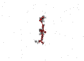 CC1(C)CCC(CN2CCN(c3ccc(C(=O)NS(=O)(=O)c4ccc(N[C@H](CCN5CCN(C(=O)CCCCCNc6cccc7c6C(=O)N(C6CCC(=O)NC6=O)C7=O)CC5)CSc5ccccc5)c(S(=O)(=O)C(F)(F)F)c4)cc3)CC2)=C(C23CC(C(F)F)(C2)C3)C1